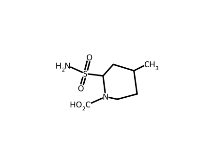 CC1CCN(C(=O)O)C(S(N)(=O)=O)C1